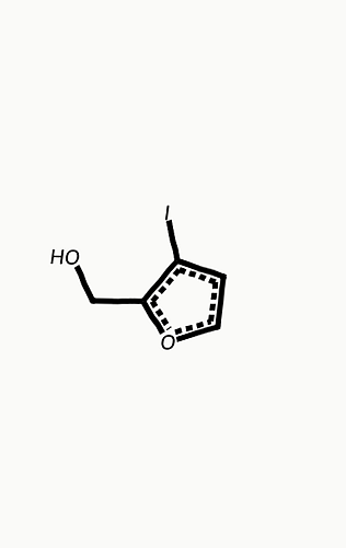 OCc1occc1I